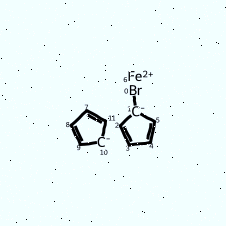 Br[c-]1cccc1.[Fe+2].c1cc[cH-]c1